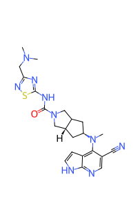 CN(C)Cc1nsc(NC(=O)N2CC3C[C@@H](N(C)c4c(C#N)cnc5[nH]ccc45)C[C@@H]3C2)n1